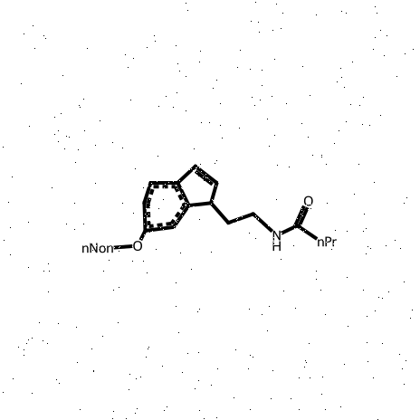 CCCCCCCCCOc1ccc2c(c1)C(CCNC(=O)CCC)C=C2